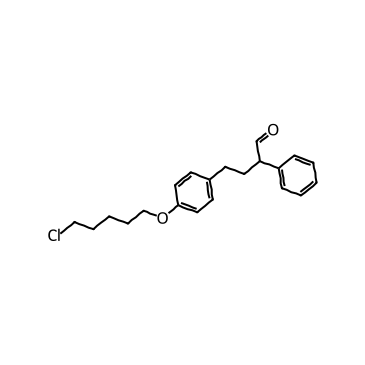 O=CC(CCc1ccc(OCCCCCCl)cc1)c1ccccc1